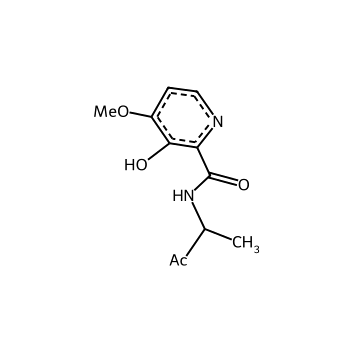 COc1ccnc(C(=O)NC(C)C(C)=O)c1O